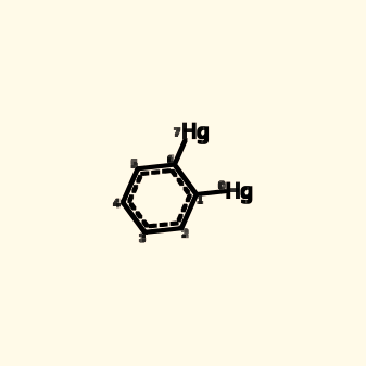 [Hg][c]1cccc[c]1[Hg]